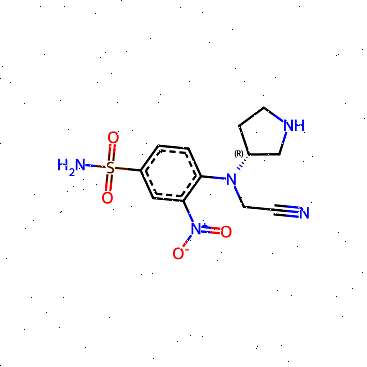 N#CCN(c1ccc(S(N)(=O)=O)cc1[N+](=O)[O-])[C@@H]1CCNC1